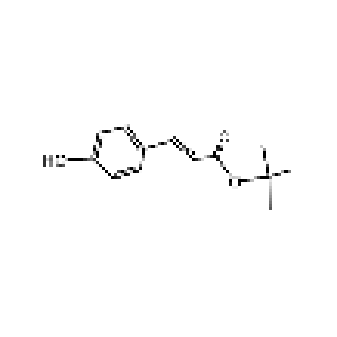 CC(C)(C)OC(=O)C=Cc1ccc(O)cc1